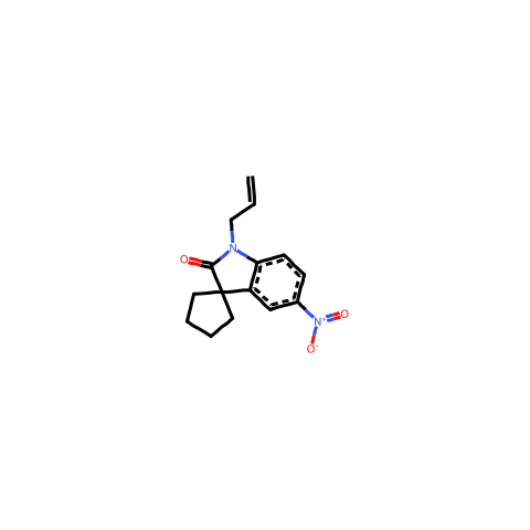 C=CCN1C(=O)C2(CCCC2)c2cc([N+](=O)[O-])ccc21